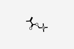 C=C(C)C(=O)OC[Si](C)(C)C